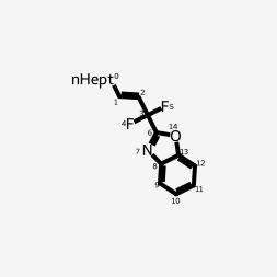 CCCCCCCC=CC(F)(F)c1nc2ccccc2o1